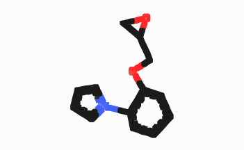 c1ccc(-n2cccc2)c(OCC2CO2)c1